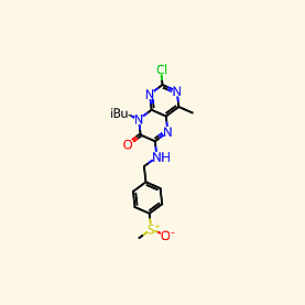 CC[C@H](C)n1c(=O)c(NCc2ccc([S+](C)[O-])cc2)nc2c(C)nc(Cl)nc21